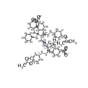 CC(C)Oc1ccc(CCN2/C(=C/C=C/C3=[N+](CCc4ccc(OC(C)C)cc4)c4ccc([N+](=O)[O-])cc4C3(Cc3ccccc3)Cc3ccccc3)C(C)(C)c3cc([N+](=O)[O-])ccc32)cc1